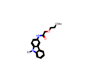 CCn1c2ccccc2c2cc(NC(=O)COCCOC)ccc21